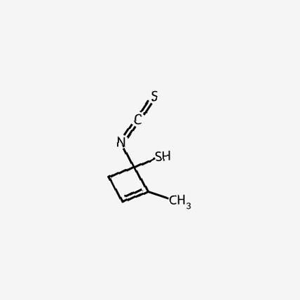 CC1=CCC1(S)N=C=S